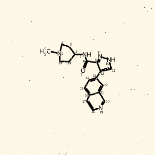 CN1CCC(NC(=O)c2n[nH]cc2-c2ccc3ccncc3c2)CC1